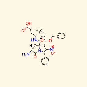 CC[C@H](C)C(OCc1ccccc1)C1C([N+](=O)[O-])C(c2ccccc2)N(C(=O)CN)C1(C)C(=O)NCCCC(=O)O